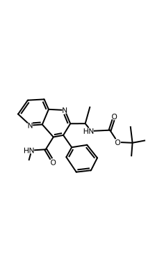 CNC(=O)c1c(-c2ccccc2)c(C(C)NC(=O)OC(C)(C)C)nc2cccnc12